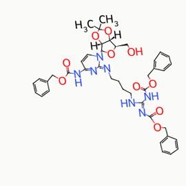 CC1(C)O[C@@H]2[C@H](O1)[C@@H](CO)O[C@H]2n1ccc(NC(=O)OCc2ccccc2)n/c1=N\CCCCN/C(=N/C(=O)OCc1ccccc1)NC(=O)OCc1ccccc1